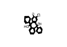 OC1(c2ccccc2)c2ccccc2C(O)(c2ccccc2)c2cc(Cl)c(Cl)cc21